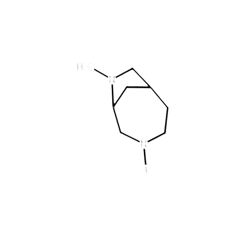 CN1CC2CCN(I)CC1C2